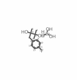 CC(C)(O)C(C)(O)Cc1ccc(F)cc1.OB(O)O